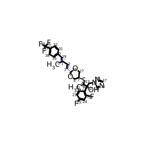 CC(/C=C/[C@H]1OC[C@H](S[C@H](C)[C@](O)(Cn2cncn2)c2ccc(F)cc2F)CO1)=C\c1ccc(C(F)(F)F)cc1